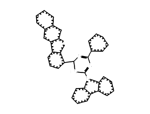 c1ccc(C2=NC(c3cccc4c3oc3cc5ccccc5cc34)NC(n3c4ccccc4c4ccccc43)=N2)cc1